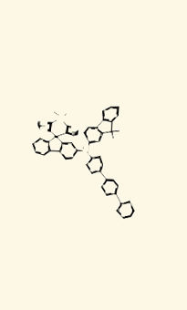 CC1(C)c2ccccc2-c2ccc(N(c3ccc(-c4ccc(-c5ccccc5)cc4)cc3)c3ccc4c(c3)C3(c5ccccc5-4)c4ccccc4S(C)(C)c4ccccc43)cc21